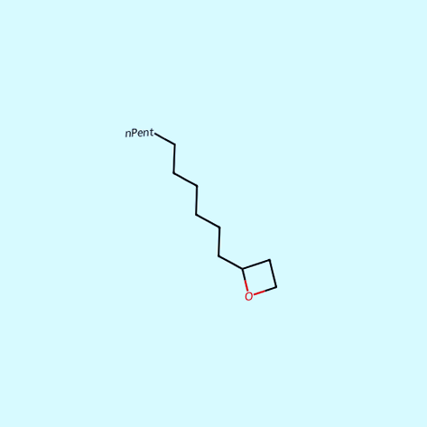 C[CH]CCCCCCCCCC1CCO1